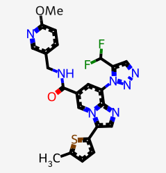 COc1ccc(CNC(=O)c2cc(-n3nncc3C(F)F)c3ncc(-c4ccc(C)s4)n3c2)cn1